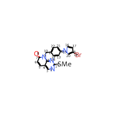 CSc1ncc2ccc(=O)n(Cc3ccc(-n4ccc(Br)c4)cc3)c2n1